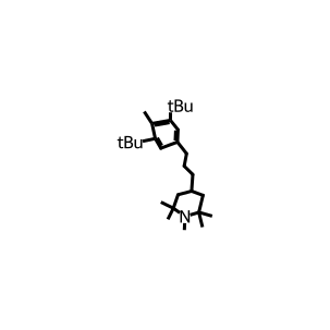 Cc1c(C(C)(C)C)cc(CCCC2CC(C)(C)N(C)C(C)(C)C2)cc1C(C)(C)C